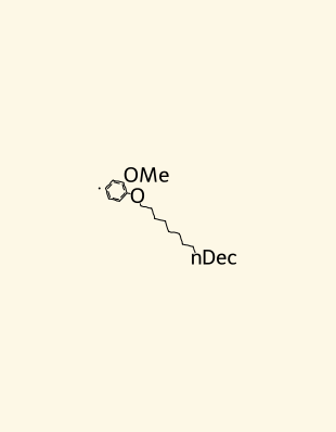 CCCCCCCCCCCCCCCCCCOc1cc[c]cc1OC